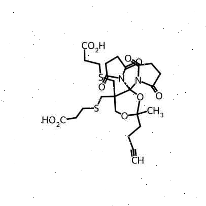 C#CCCC1(C)OCC(CSCCC(=O)O)(CSCCC(=O)O)C(N2C(=O)CCC2=O)(N2C(=O)CCC2=O)O1